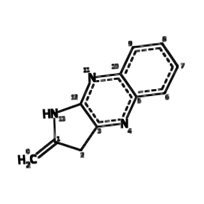 C=C1Cc2nc3ccccc3nc2N1